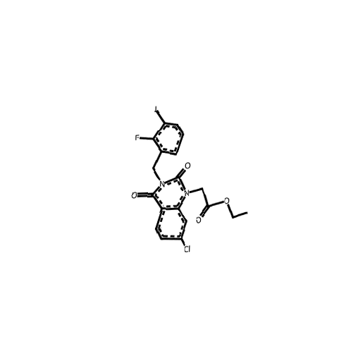 CCOC(=O)Cn1c(=O)n(Cc2cccc(I)c2F)c(=O)c2ccc(Cl)cc21